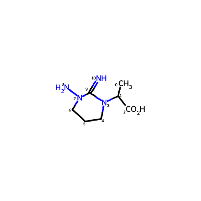 CC(C(=O)O)N1CCCN(N)C1=N